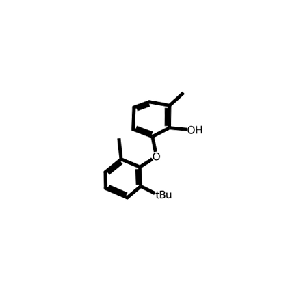 Cc1cccc(Oc2c(C)cccc2C(C)(C)C)c1O